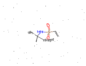 C=CS(=O)(=O)NC(C)(CCC)CCCCCCC